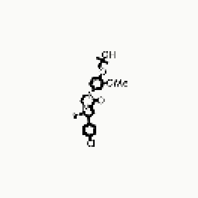 COc1cc(N2CCN3C(=CC(c4ccc(Cl)cc4)C3Br)C2=O)ccc1OCC(C)(C)O